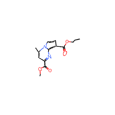 CCOC(=O)c1ccn2c(C)cc(C(=O)OC)nc12